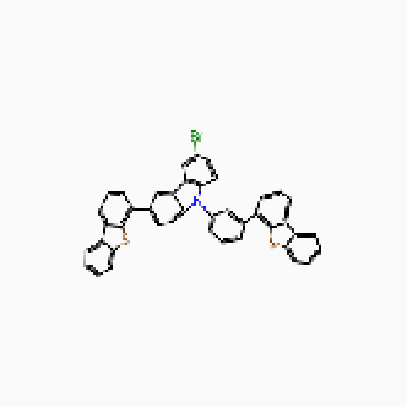 Brc1ccc2c(c1)c1cc(-c3cccc4c3sc3ccccc34)ccc1n2-c1cccc(-c2cccc3c2sc2ccccc23)c1